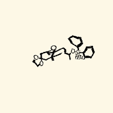 CC(C=CC12OC1(C)CC1(CC2(C)C)OCCO1)O[Si](c1ccccc1)(c1ccccc1)C(C)(C)C